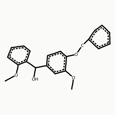 COc1cc(C(O)c2ccccc2OC)ccc1OCc1ccccc1